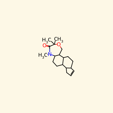 CN1C(=O)C(C)(C)OCC2C3CCC4C=CCC4C3CCC21